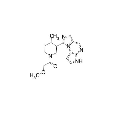 COCC(=O)N1CCC(C)C(c2ncc3cnc4[nH]ccc4n23)C1